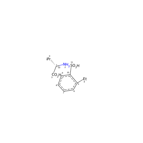 CC(C)[C@H](N)C(=O)O.CCc1ccccc1S(=O)(=O)O